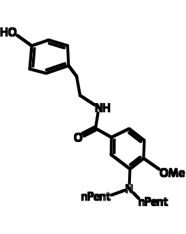 CCCCCN(CCCCC)c1cc(C(=O)NCCc2ccc(O)cc2)ccc1OC